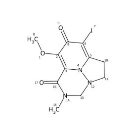 COc1c2n3c(c(I)c1=O)CCN3CN(C)C2=O